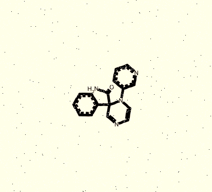 NC(=O)C1(c2ccccc2)C=NC=CN1c1cccnc1